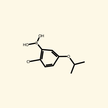 CC(C)Oc1ccc(Cl)c(B(O)O)c1